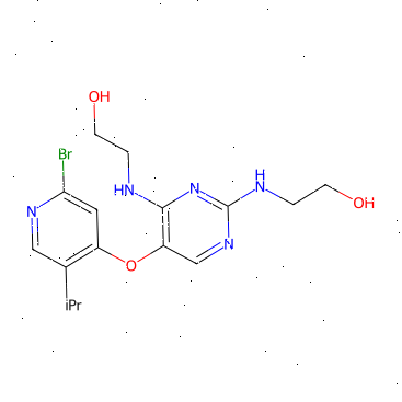 CC(C)c1cnc(Br)cc1Oc1cnc(NCCO)nc1NCCO